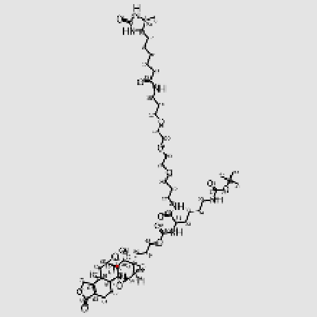 C[C@@H]1NC(=O)N[C@@H]1CCCCCC(=O)NCCCOCCOCCOCCCNC(=O)C(CCCCNC(=O)OC(C)(C)C)NC(=O)OCCC[C@]12O[C@H]1[C@@H]1O[C@]13[C@]1(O[C@H]1C[C@H]1C4=C(CC[C@@]13C)C(=O)OC4)[C@@H]2O